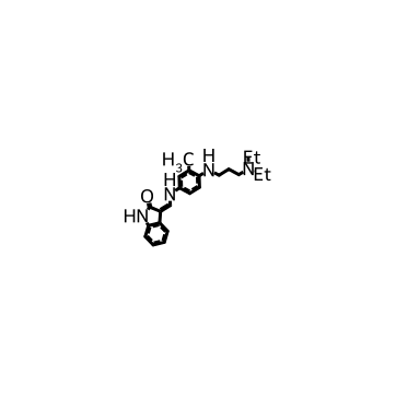 CCN(CC)CCCNc1ccc(N/C=C2\C(=O)Nc3ccccc32)cc1C